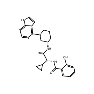 O=C(N[C@@H](C(=O)N[C@@H]1CCCN(c2ncnc3[nH]ccc23)C1)C1CC1)c1ccccc1O